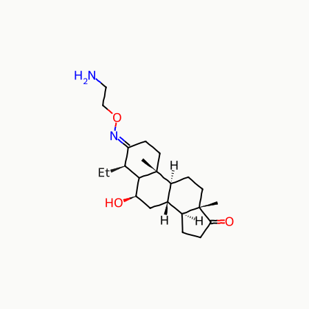 CC[C@H]1C(=NOCCN)CC[C@@]2(C)C1[C@H](O)C[C@@H]1[C@@H]2CC[C@]2(C)C(=O)CC[C@@H]12